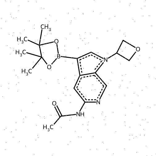 CC(=O)Nc1cc2c(B3OC(C)(C)C(C)(C)O3)cn(C3COC3)c2cn1